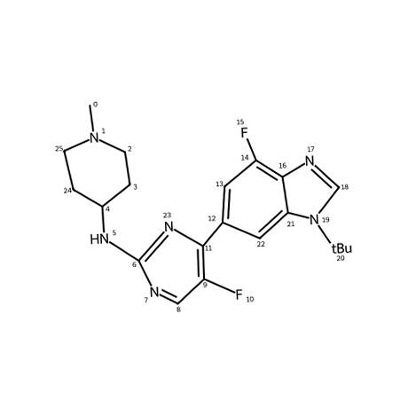 CN1CCC(Nc2ncc(F)c(-c3cc(F)c4ncn(C(C)(C)C)c4c3)n2)CC1